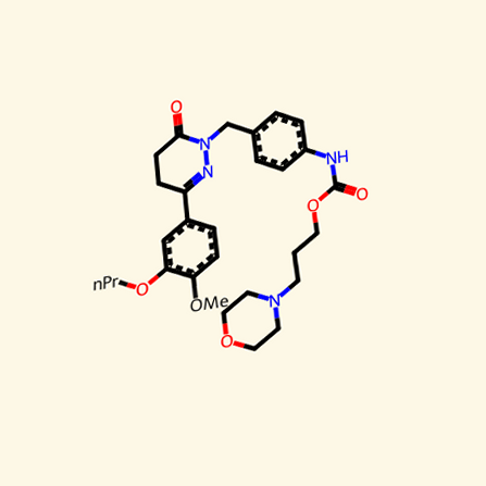 CCCOc1cc(C2=NN(Cc3ccc(NC(=O)OCCCN4CCOCC4)cc3)C(=O)CC2)ccc1OC